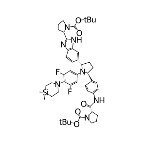 CC(C)(C)OC(=O)N1CCCC1c1nc2ccc([C@@H]3CC[C@@H](c4ccc(NC(=O)[C@@H]5CCCN5C(=O)OC(C)(C)C)cc4)N3c3cc(F)c(N4CC[Si](C)(C)CC4)c(F)c3)cc2[nH]1